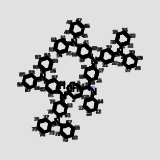 C=C(\C=C/C(=C\C)C(=N\c1ccccc1)/c1ccc(N(c2ccc(N(c3ccccc3)c3ccccc3)cc2)c2ccc(N(c3ccccc3)c3ccccc3)cc2)cc1)N(C1=CCC(N(c2ccccc2)c2ccccc2)C=C1)c1ccc(N(c2ccccc2)c2ccccc2)cc1